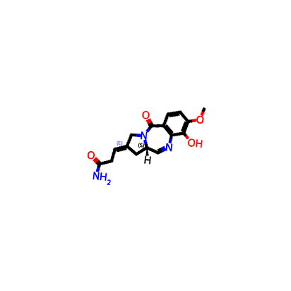 COc1ccc2c(c1O)N=C[C@@H]1C/C(=C\CC(N)=O)CN1C2=O